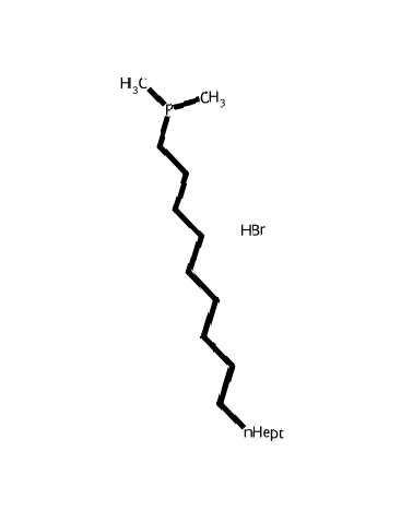 Br.CCCCCCCCCCCCCCCCP(C)C